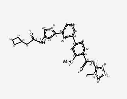 COc1cc(-c2cncc(-c3cc(NC(=O)CC4CCC4)cs3)n2)ccc1C(=O)Nc1nnnn1C